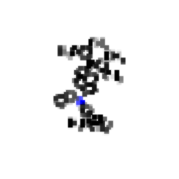 Cc1cc(C)cc(B(c2cc(C)cc(C)c2)c2ccc3ccc4c(N(c5ccc([Si](C)(C)C)cc5)c5ccc6ccccc6c5)ccc5ccc2c3c54)c1